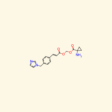 NC1(C(=O)OCOC(=O)/C=C/c2ccc(Cn3ccnc3)cc2)CC1